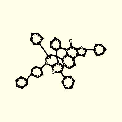 O=c1c2sc(-c3ccccc3)cc2c2cccc3c2n1-c1ccccc1C31c2cc(-c3ccccc3)sc2N(c2ccc(-c3ccccc3)cc2)c2sc(-c3ccccc3)cc21